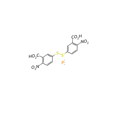 O=C(O)c1cc(SSc2ccc([N+](=O)[O-])c(C(=O)O)c2)ccc1[N+](=O)[O-].[P]